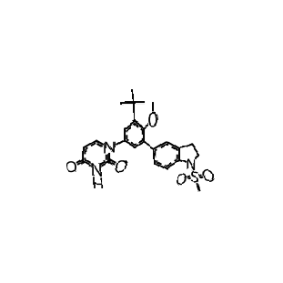 COc1c(-c2ccc3c(c2)CCN3S(C)(=O)=O)cc(-n2ccc(=O)[nH]c2=O)cc1C(C)(C)C